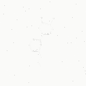 Nc1ccc(-c2cccc(NC=O)c2)cc1N